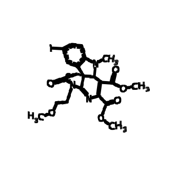 COCCN1C(=O)CC[C@@]23C1=NC(C(=O)OC)=C(C(=O)OC)C2N(C)c1ccc(I)cc13